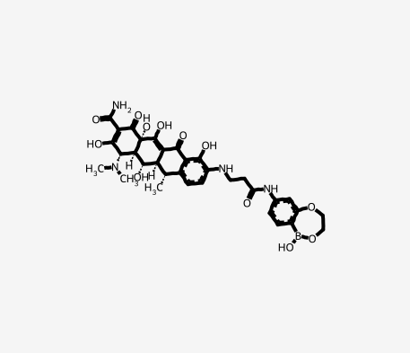 C[C@H]1c2ccc(NCCC(=O)Nc3ccc4c(c3)OCCOB4O)c(O)c2C(=O)C2=C(O)[C@]3(O)C(=O)C(C(N)=O)=C(O)[C@@H](N(C)C)[C@@H]3[C@@H](O)[C@@H]21